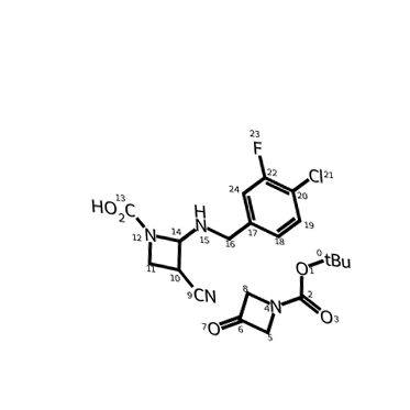 CC(C)(C)OC(=O)N1CC(=O)C1.N#CC1CN(C(=O)O)C1NCc1ccc(Cl)c(F)c1